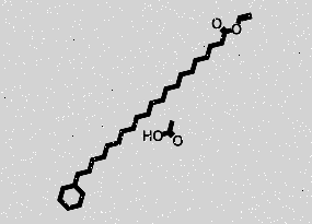 C=COC(=O)CCCCCCCCCCCCCCCCCCCCC1CCCCC1.CC(=O)O